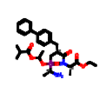 CCOC(=O)[C@H](C)NC(=O)[C@H](Cc1ccc(-c2ccccc2)cc1)CP(=O)(OC(C)OC(=O)C(C)C)[C@H](C)N